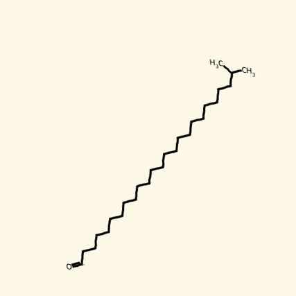 CC(C)CCCCCCCCCCCCCCCCCCCCCC[C]=O